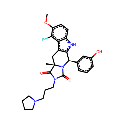 COc1ccc2[nH]c3c(c2c1F)C[C@@]1(C)C(=O)N(CCCN2CCCC2)C(=O)N1[C@@H]3c1cccc(O)c1